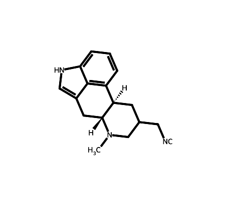 [C-]#[N+]CC1C[C@@H]2c3cccc4[nH]cc(c34)C[C@H]2N(C)C1